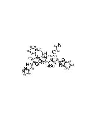 CC[C@H](C)[C@@H](C(=O)N[C@H]1CCc2cccc3c2N(C1=O)[C@H](C(=O)NCC1=CCN=N1)C3)N(CCOCCF)CCc1nc2ccccc2o1